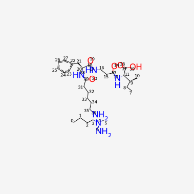 CCCCN(C)N.CC[C@H](C)[C@H](NC(=O)CCNC(=O)[C@H](Cc1ccccc1)NC(=O)CCCCCN)C(=O)O